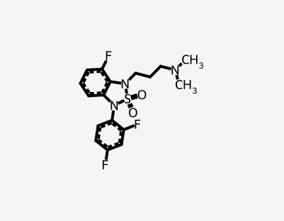 CN(C)CCCN1c2c(F)cccc2N(c2ccc(F)cc2F)S1(=O)=O